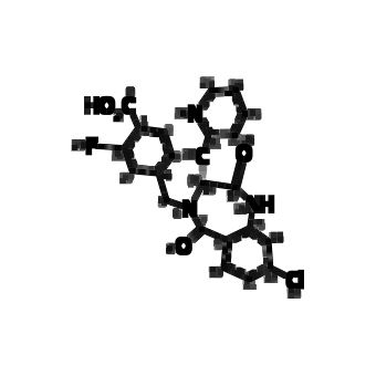 O=C(O)c1ccc(CN2C(=O)c3ccc(Cl)cc3NC(=O)[C@H]2Cc2ccccn2)cc1F